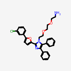 NCCOCCOCCn1c(-c2ccc(-c3cccc(Cl)c3)o2)nc(-c2ccccc2)c1-c1ccccc1